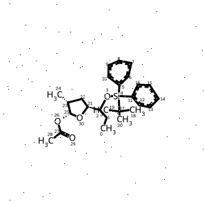 CCC(O[Si](c1ccccc1)(c1ccccc1)C(C)(C)C)[C@@H]1C[C@@H](C)[C@@H](OC(C)=O)O1